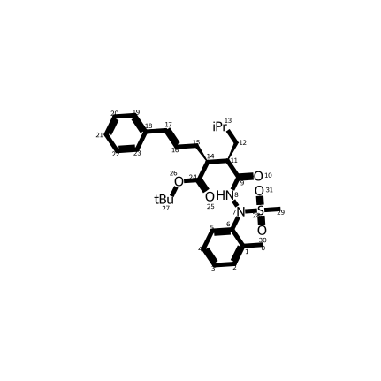 Cc1ccccc1N(NC(=O)[C@H](CC(C)C)[C@H](CC=Cc1ccccc1)C(=O)OC(C)(C)C)S(C)(=O)=O